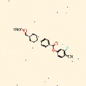 CCCCCCCCCOC[C@H]1CC[C@H](c2ccc(C(=O)Oc3ccc(C#N)c(F)c3)cc2)CC1